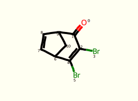 O=C1C(Br)=C(Br)C2C=CC1C2